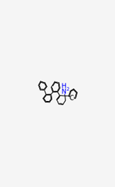 NC1(c2ccccc2)CC=CC=C1c1ccccc1-c1ccccc1-c1ccccc1